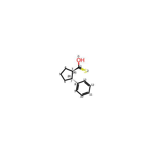 OC(=S)[C@@H]1CCC[C@H]1c1ccccc1